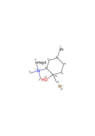 CCCCCCC[N+](C)(C)C1CC(C(C)C)CCC1(C)O.[Br-]